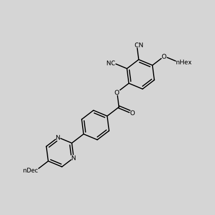 CCCCCCCCCCc1cnc(-c2ccc(C(=O)Oc3ccc(OCCCCCC)c(C#N)c3C#N)cc2)nc1